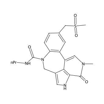 CCCNC(=O)N1Cc2c[nH]c3c(=O)n(C)cc(c23)-c2cc(CS(C)(=O)=O)ccc21